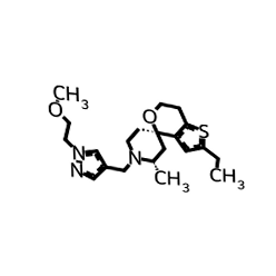 CCc1cc2c(s1)CCO[C@@]21CCN(Cc2cnn(CCOC)c2)[C@@H](C)C1